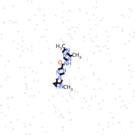 CN[C@H]1CN(c2cnc(C(=O)Nc3cn4cc(C)nc4c(C)n3)cn2)CC12CC2